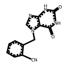 N#Cc1ccccc1Cn1cnc2[nH]c(=O)[nH]c(=O)c21